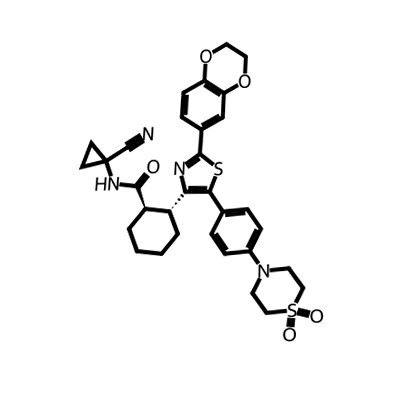 N#CC1(NC(=O)[C@@H]2CCCC[C@H]2c2nc(-c3ccc4c(c3)OCCO4)sc2-c2ccc(N3CCS(=O)(=O)CC3)cc2)CC1